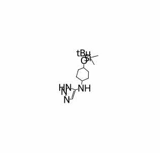 CC(C)(C)[Si](C)(C)OC1CCC(Nc2cnn[nH]2)CC1